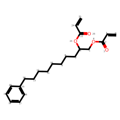 C=CC(=O)OCC(CCCCCCCCc1ccccc1)OC(=O)C=C